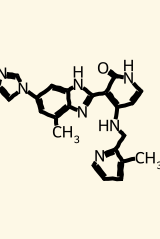 Cc1cccnc1CNc1cc[nH]c(=O)c1-c1nc2c(C)cc(-n3ccnc3)cc2[nH]1